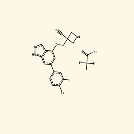 N#CC1(COc2cc(-c3ccc(O)c(F)c3)cc3[nH]ncc23)CNC1.O=C(O)C(F)(F)F